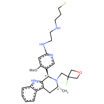 COc1cc(NCCNCCCF)ncc1[C@@H]1c2[nH]c3ccccc3c2C[C@@H](C)N1CC1(F)COC1